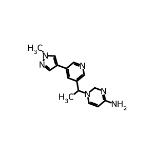 CC(c1cncc(-c2cnn(C)c2)c1)N1C=CC(N)=NC1